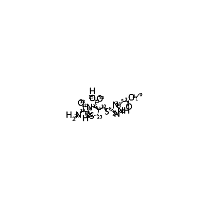 CCOC(=O)Cc1nc(SCC2=C(C(=O)O)N3C(=O)C(N)[C@@H]3SC2)n[nH]1